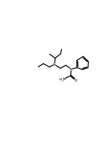 CCCN(CCN(C(N)=O)c1ccccc1)C(C)CC